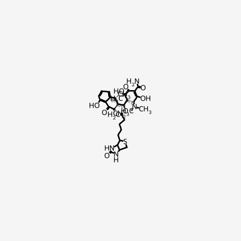 C=C(CCCCC1SCC2NC(=O)NC21)O[C@@H]([C@H]1C(=C)C(=O)c2c(O)cccc2[C@@H]1C)[C@H]1[C@H](N(C)C)C(O)=C(C(N)=O)C(=O)[C@]1(C)O